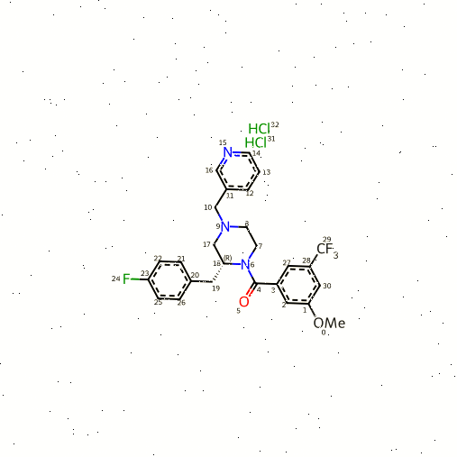 COc1cc(C(=O)N2CCN(Cc3cccnc3)C[C@H]2Cc2ccc(F)cc2)cc(C(F)(F)F)c1.Cl.Cl